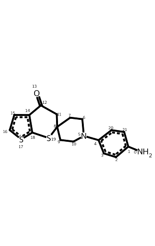 Nc1ccc(N2CCC3(CC2)CC(=O)c2ccsc2S3)cc1